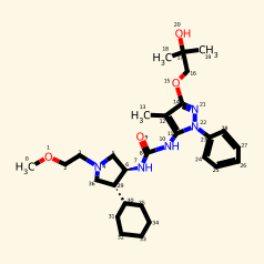 COCCN1C[C@@H](NC(=O)Nc2c(C)c(OCC(C)(C)O)nn2-c2ccccc2)[C@H](C2CCCCC2)C1